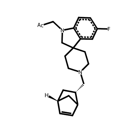 CC(=O)CN1CC2(CCN(C[C@H]3C[C@H]4C=CC3C4)CC2)c2cc(F)ccc21